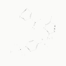 CC(C)(C)c1ccc(S(=O)(=O)Nc2ccc(Br)c(CC(=NO)c3cccnc3)n2)cc1